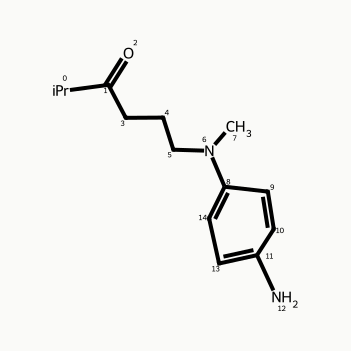 CC(C)C(=O)CCCN(C)c1ccc(N)cc1